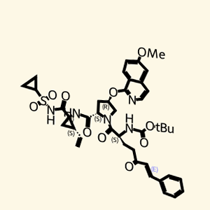 C=C[C@@H]1C[C@]1(NC(=O)[C@@H]1C[C@@H](Oc2nccc3cc(OC)ccc23)CN1C(=O)[C@H](CCC(=O)/C=C/c1ccccc1)NC(=O)OC(C)(C)C)C(=O)NS(=O)(=O)C1CC1